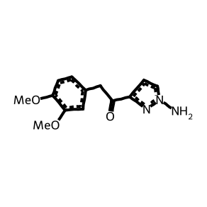 COc1ccc(CC(=O)c2ccn(N)n2)cc1OC